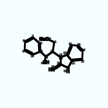 COCC(C(O)c1ccccc1)n1c(=N)[nH]c2ccccc21